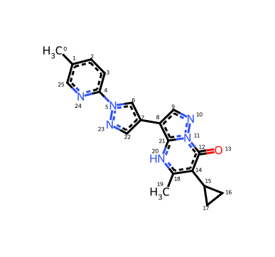 Cc1ccc(-n2cc(-c3cnn4c(=O)c(C5CC5)c(C)[nH]c34)cn2)nc1